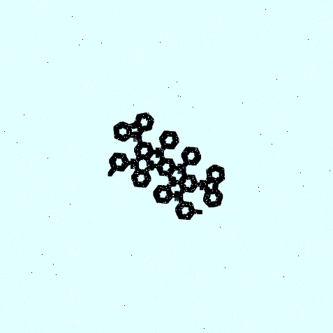 Cc1cccc(N2c3ccccc3B3c4cc5c(cc4N(c4ccccc4)c4cc(-n6c7ccccc7c7ccccc76)cc2c43)N(c2ccccc2)c2cc(-n3c4ccccc4c4ccccc43)cc3c2B5c2ccccc2N3c2cccc(C)c2)c1